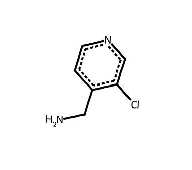 NCc1ccncc1Cl